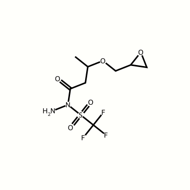 CC(CC(=O)N(N)S(=O)(=O)C(F)(F)F)OCC1CO1